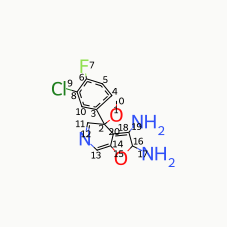 COC1(c2ccc(F)c(Cl)c2)C=NC=C2OC(N)C(N)=C21